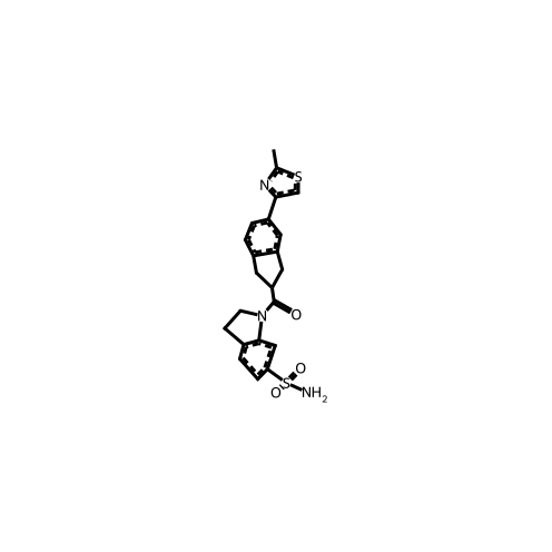 Cc1nc(-c2ccc3c(c2)CC(C(=O)N2CCc4ccc(S(N)(=O)=O)cc42)C3)cs1